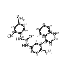 Cc1ccc(NC(=O)Nc2ccc(N)cc2Cl)cc1-c1ncnc2ccccc12